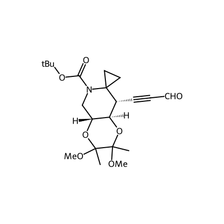 COC1(C)O[C@@H]2[C@@H](C#CC=O)C3(CC3)N(C(=O)OC(C)(C)C)C[C@H]2OC1(C)OC